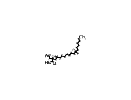 CCCCCCCC(F)(F)CCCCCC/C=C/C[C@@](O)(CCF)C(=O)O